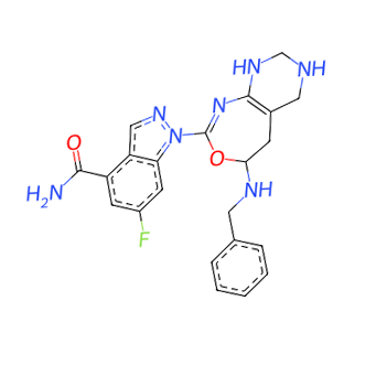 NC(=O)c1cc(F)cc2c1cnn2C1=NC2=C(CNCN2)CC(NCc2ccccc2)O1